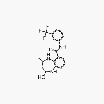 CC1CC(O)Nc2cccc(C(=O)Nc3cccc(C(F)(F)F)c3)c2N1